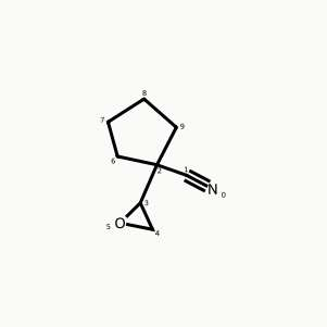 N#CC1(C2CO2)CCCC1